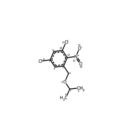 CC(C)OCc1cc(Cl)cc(Cl)c1[N+](=O)[O-]